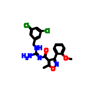 COc1ccccc1-c1noc(C)c1C(=O)N=C(N)NCc1cc(Cl)cc(Cl)c1